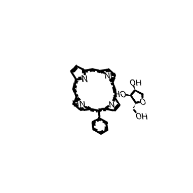 C1=Cc2cc3ccc([nH]3)c(-c3ccccc3)c3nc(cc4ccc(cc1n2)[nH]4)C=C3.OC[C@H]1OC[C@H](O)[C@@H]1O